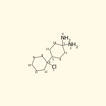 NC1(N)CCC(C2(Cl)CCCCC2)CC1